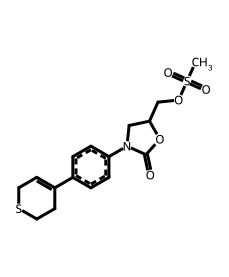 CS(=O)(=O)OCC1CN(c2ccc(C3=CCSCC3)cc2)C(=O)O1